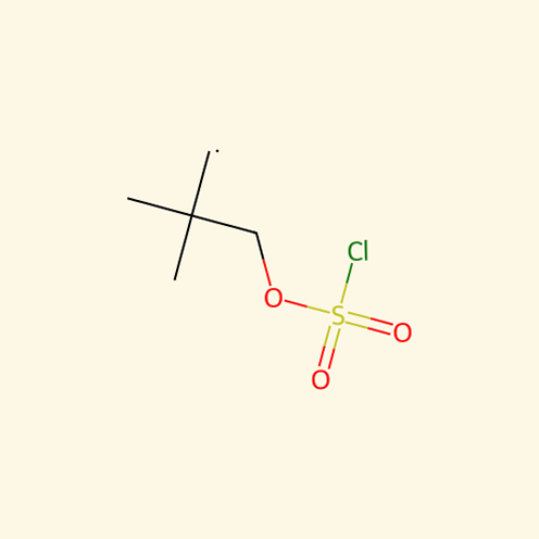 [CH2]C(C)(C)COS(=O)(=O)Cl